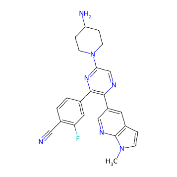 Cn1ccc2cc(-c3ncc(N4CCC(N)CC4)nc3-c3ccc(C#N)c(F)c3)cnc21